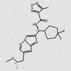 CO[C@@H](C)Cc1cnn2cc([C@@H](NC(=O)c3nonc3C)C3CCC(F)(F)CC3)nc2c1